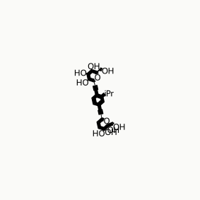 CC(C)c1cc(C#C[C@H]2CCC(O)(O)[C@@](O)(CO)O2)ccc1C#C[C@H]1O[C@H](CO)[C@@H](O)[C@H](O)[C@@H]1O